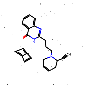 C#CC1CC=CCN1CCCc1nc2ccccc2c(=O)[nH]1.c1cc2ccc1-2